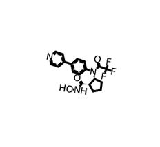 O=C(NO)[C@H]1CCC[C@H]1N(C(=O)C(F)(F)F)c1ccc(-c2ccncc2)cc1